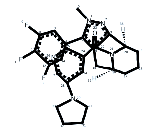 Cn1nc2c(c1-c1cc(F)c(F)c(F)c1)C[C@@H]1CCC[C@H]2N1C(=O)c1cncc(N2CCCC2)c1